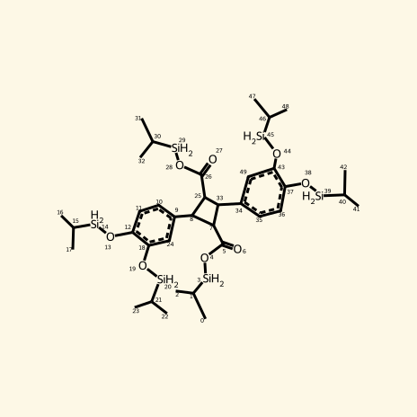 CC(C)[SiH2]OC(=O)C1C(c2ccc(O[SiH2]C(C)C)c(O[SiH2]C(C)C)c2)C(C(=O)O[SiH2]C(C)C)C1c1ccc(O[SiH2]C(C)C)c(O[SiH2]C(C)C)c1